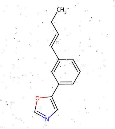 CC/C=C/c1cccc(-c2cnco2)c1